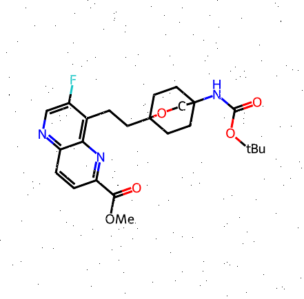 COC(=O)c1ccc2ncc(F)c(CCC34CCC(NC(=O)OC(C)(C)C)(CC3)CO4)c2n1